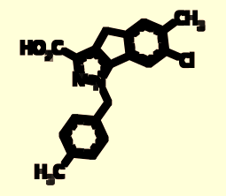 Cc1ccc(Cn2nc(C(=O)O)c3c2-c2cc(Cl)c(C)cc2C3)cc1